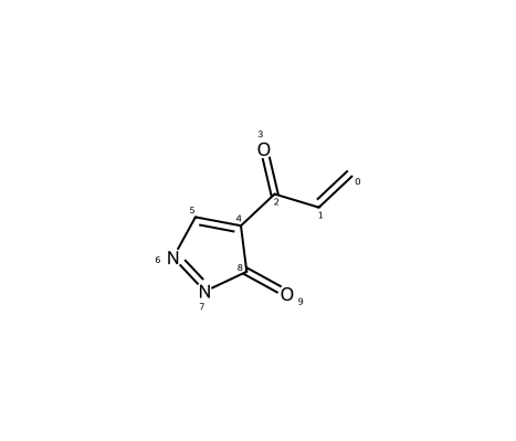 C=CC(=O)C1=CN=NC1=O